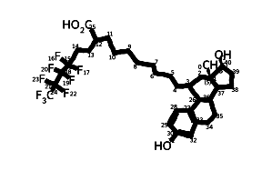 C[C@]12CC(CCCCCCCCC(CCC(F)(F)C(F)(F)C(F)(F)C(F)(F)F)C(=O)O)C3c4ccc(O)cc4CCC3C1CC[C@@H]2O